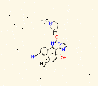 CC1=CCC(CO)(c2c(-c3ccc(C#N)cc3)nc(OC[C@@H]3CCCN(C)C3)n3ccnc23)C=C1